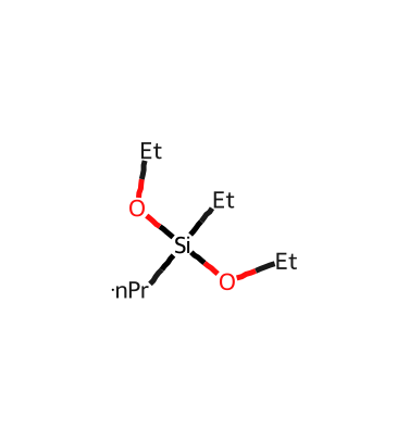 CC[CH][Si](CC)(OCC)OCC